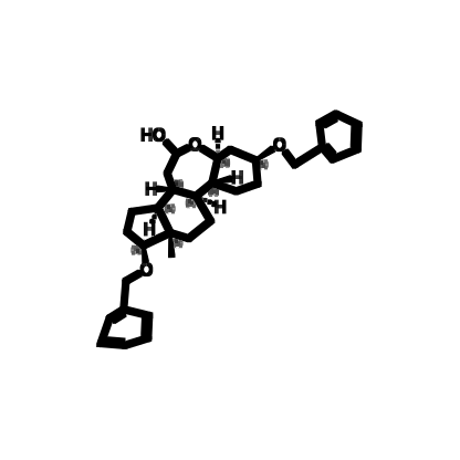 C[C@]12CC[C@@H]3[C@H]4CC[C@H](OCc5ccccc5)C[C@@H]4OC(O)C[C@H]3[C@@H]1CC[C@@H]2OCc1ccccc1